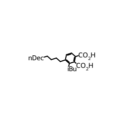 CCCCCCCCCCCCCCc1ccc(C(=O)O)c(C(=O)O)c1C(C)CC